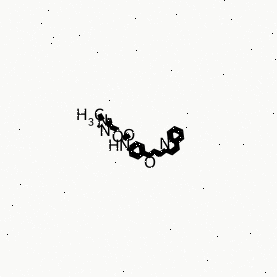 Cn1cnc(COC(=O)Nc2ccc(C(=O)C=Cc3ccc4ccccc4n3)cc2)c1